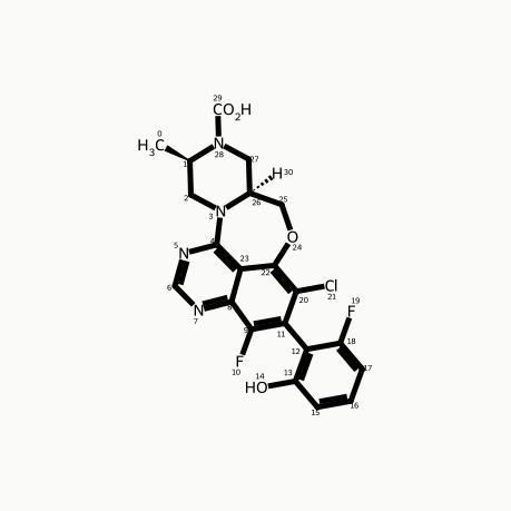 C[C@@H]1CN2c3ncnc4c(F)c(-c5c(O)cccc5F)c(Cl)c(c34)OC[C@@H]2CN1C(=O)O